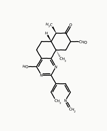 C=N/C=C\C(=C/C)c1nc(O)c2c(n1)[C@]1(C)CC(C=O)C(=O)[C@H](C)[C@H]1CC2